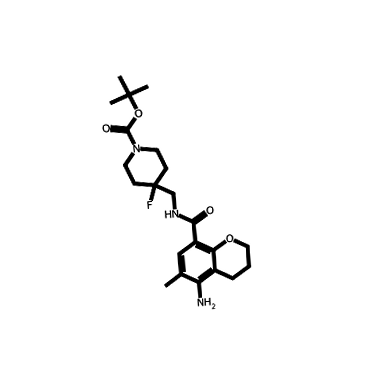 Cc1cc(C(=O)NCC2(F)CCN(C(=O)OC(C)(C)C)CC2)c2c(c1N)CCCO2